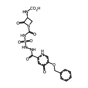 O=C(O)N[C@H]1CN(C(=O)NS(=O)(=O)NNC(=O)c2cc(=O)c(OCc3ccccc3)c[nH]2)C1=O